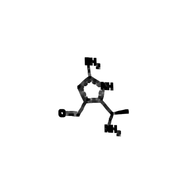 Bc1cc(C=O)c([C@@H](C)N)[nH]1